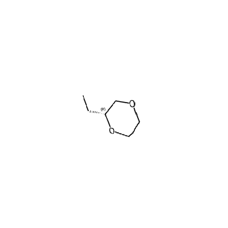 CC[C@@H]1COCCO1